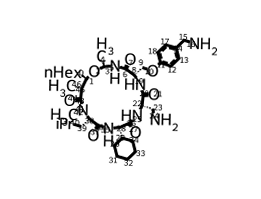 CCCCCC[C@H]1O[C@@H](C)NC(=O)[C@H](COc2ccc(CN)cc2)NC(=O)[C@H](CN)NC(=O)[C@H](C2CCCCC2)NC(=O)[C@H](CC(C)C)N(C)C(=O)[C@@H]1C